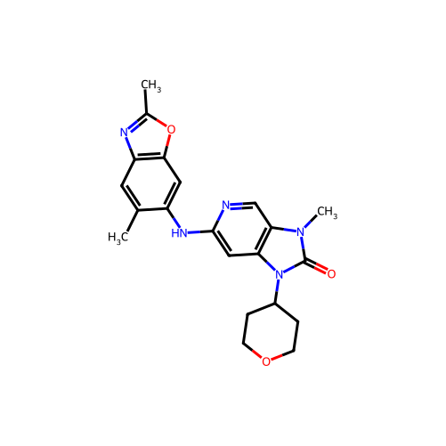 Cc1nc2cc(C)c(Nc3cc4c(cn3)n(C)c(=O)n4C3CCOCC3)cc2o1